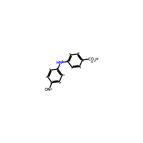 O=Nc1ccc(Nc2ccc(C(=O)O)cc2)cc1